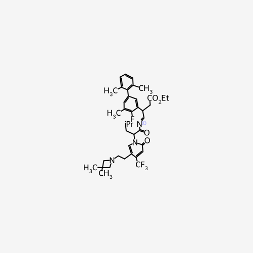 CCOC(=O)CC(/C=N/C(=O)C(CC(C)C)n1cc(CCN2CC(C)(C)C2)c(C(F)(F)F)cc1=O)c1cc(-c2c(C)cccc2C)cc(C)c1F